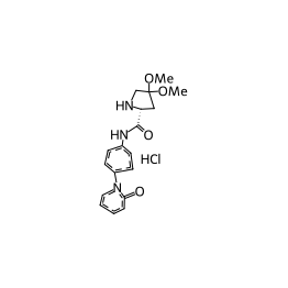 COC1(OC)CN[C@@H](C(=O)Nc2ccc(-n3ccccc3=O)cc2)C1.Cl